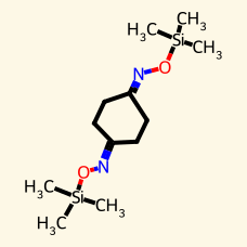 C[Si](C)(C)ON=C1CCC(=NO[Si](C)(C)C)CC1